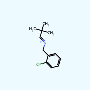 CC(C)(C)/C=N/Cc1ccccc1Cl